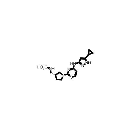 O=C(O)NC[C@H]1CCN(c2nccc(Nc3cc(C4CC4)[nH]n3)n2)C1